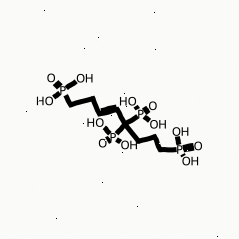 O=P(O)(O)CC/C=C/C(CCCP(=O)(O)O)(P(=O)(O)O)P(=O)(O)O